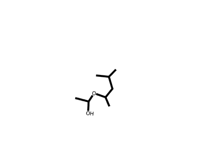 CC(C)CC(C)OC(C)O